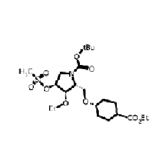 CCOC(=O)[C@H]1CC[C@H](OC[C@@H]2[C@@H](OCC)[C@@H](OS(C)(=O)=O)CN2C(=O)OC(C)(C)C)CC1